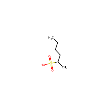 CCCCC(C)S(=O)(=O)O